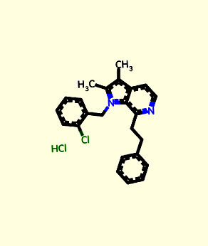 Cc1c(C)n(Cc2ccccc2Cl)c2c(CCc3ccccc3)nccc12.Cl